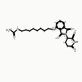 NC(=O)OCCCCCCCCNc1cccc2c1C(=O)N(C1CCC(=O)NC1=O)C2=O